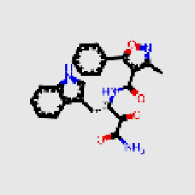 Cc1noc(-c2ccccc2)c1C(=O)N[C@@H](Cc1c[nH]c2ccccc12)C(=O)C(N)=O